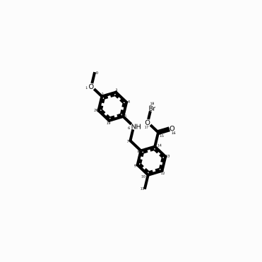 COc1ccc(NCc2cc(C)ccc2C(=O)OBr)cc1